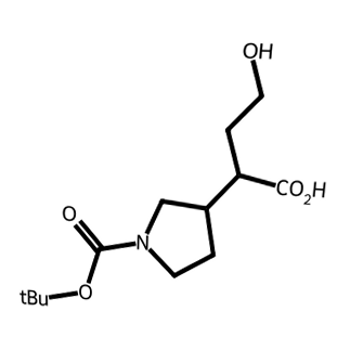 CC(C)(C)OC(=O)N1CCC(C(CCO)C(=O)O)C1